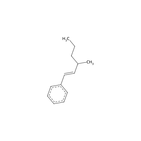 CCC[C](C)/C=C/c1ccccc1